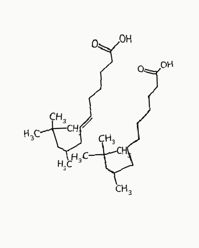 CC(CC=CCCCCC(=O)O)CC(C)(C)C.CC(CCCCCCCC(=O)O)CC(C)(C)C